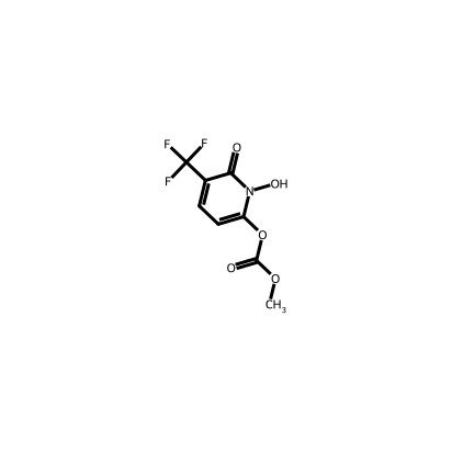 COC(=O)Oc1ccc(C(F)(F)F)c(=O)n1O